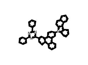 c1ccc(-c2nc(-c3ccccc3)nc(-c3ccc4c5ccccc5c5cc(-n6c7ccccc7c7c8ccccc8ccc76)ccc5c4c3)n2)cc1